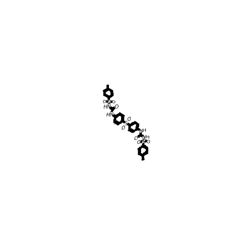 Cc1ccc(S(=O)(=O)NC(=O)Nc2ccc(S(=O)(=O)c3ccc(NC(=O)NS(=O)(=O)c4ccc(C)cc4)cc3)cc2)cc1